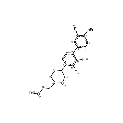 CCCc1ccc(-c2ccc(C3CCC(CCOCC)OC3)c(F)c2F)cc1F